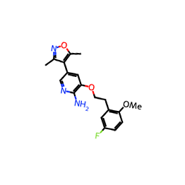 COc1ccc(F)cc1CCOc1cc(-c2c(C)noc2C)cnc1N